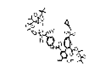 C=Cc1cc(C(=O)Nc2ccc(C(=N)NC(=O)OC(C)OC(=O)C(NC(=O)OC(C)(C)C)C(C)C)cc2)c(-c2ccc(C(=O)NCC3CC3)nc2C(=O)OC(C)OC(=O)C(C)C)cc1OC